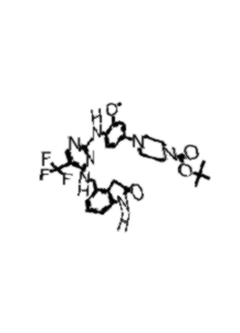 COc1cc(N2CCN(C(=O)OC(C)(C)C)CC2)ccc1Nc1ncc(C(F)(F)F)c(NCc2cccc3c2CC(=O)N3)n1